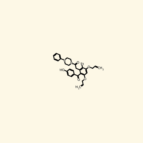 C=CCOc1cc(OCC=C)c(C(=O)c2ccc(O)cc2)c(CC(=O)N2CCN(c3ccccc3)CC2)c1CC